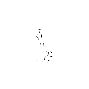 Nc1cc2c(CN[C@H]3C[C@H](Oc4ccc(C(F)(F)F)nc4)C3)cccc2cn1